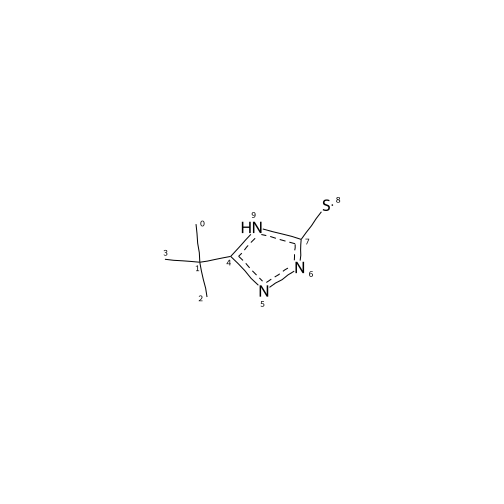 CC(C)(C)c1nnc([S])[nH]1